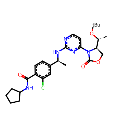 C[C@H](Nc1nccc(N2C(=O)OC[C@@H]2[C@@H](C)OC(C)(C)C)n1)c1ccc(C(=O)NC2CCCC2)c(Cl)c1